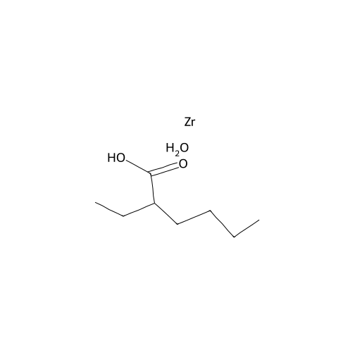 CCCCC(CC)C(=O)O.O.[Zr]